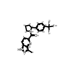 Cc1n[nH]c2ccc(C(=O)N3CCCC3c3ccc(C(F)(F)F)cc3)nc12